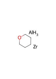 C1CCOCC1.[AlH3].[Zr]